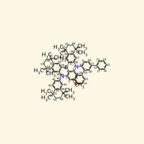 Cc1cc2c3c(c1)N(c1ccc(-c4ccccc4)cc1-c1ccccc1)c1cc4c(cc1B3c1cc3c(cc1N2c1ccc2c(c1)C(C)(C)CCC2(C)C)C(C)(C)CCC3(C)C)C(C)(C)CCC4(C)C